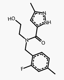 Cc1ccc(CN(CCO)C(=O)c2cc(C)n[nH]2)c(F)c1